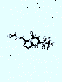 O=COCC1CCc2nc(S(=O)(=O)C(F)(F)F)cc(=O)n21